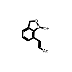 CC(=O)/C=C/c1cccc2c1B(O)OC2